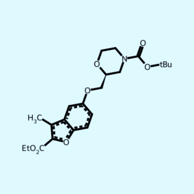 CCOC(=O)c1oc2ccc(OC[C@@H]3CN(C(=O)OC(C)(C)C)CCO3)cc2c1C